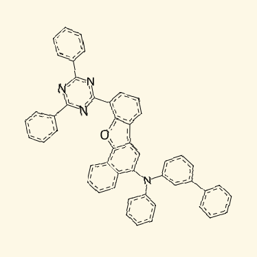 c1ccc(-c2cccc(N(c3ccccc3)c3cc4c5cccc(-c6nc(-c7ccccc7)nc(-c7ccccc7)n6)c5oc4c4ccccc34)c2)cc1